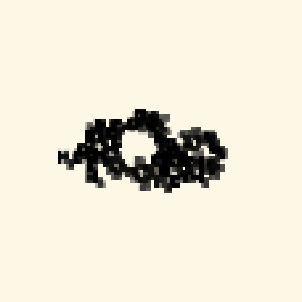 CCn1c(-c2cccnc2[C@H](C)OC)c2c3cc(ccc31)-c1cccc(c1)C[C@H](NC(=O)[C@H](C(C)C)N(C)C(=O)[C@H]1CC[C@H](N=C=NC34CC(C3)C4)C1)C(=O)N1CCC[C@H](N1)C(=O)OCC(C)(C)C2